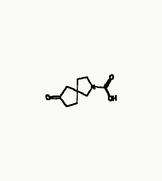 O=C1CCC2(CCN(C(=O)O)C2)C1